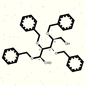 O=C[C@@H](OCc1ccccc1)[C@@H](OCc1ccccc1)[C@@H](OCc1ccccc1)[C@H](CO)OCc1ccccc1